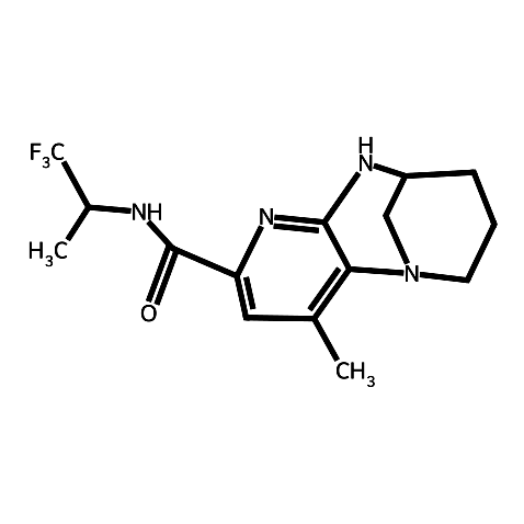 Cc1cc(C(=O)NC(C)C(F)(F)F)nc2c1N1CCCC(C1)N2